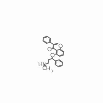 CNCCC(Oc1cccc2occ(-c3ccccc3)c(=O)c12)c1ccccc1